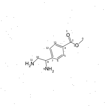 COC(=O)c1ccc(C(N)CN)cc1